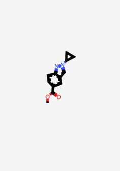 COC(=O)c1ccc2nn(C3CC3)cc2c1